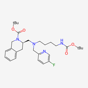 CC(C)(C)OC(=O)NCCCCN(Cc1ccc(F)cn1)C[C@H]1Cc2ccccc2CN1C(=O)OC(C)(C)C